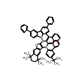 CC(C)(C)c1ccc(N2c3cc4ccccc4c4c3B(c3oc5cc6c(cc5c32)C(C)(C)CCC6(C)C)n2c3ccc(-c5ccccc5)cc3c3cc(-c5ccccc5)cc-4c32)c(-c2ccccc2)c1